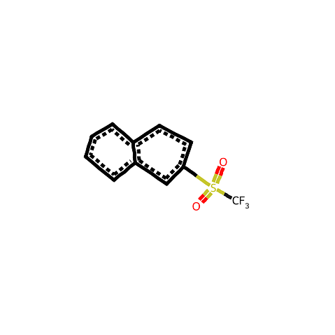 O=S(=O)(c1ccc2ccccc2c1)C(F)(F)F